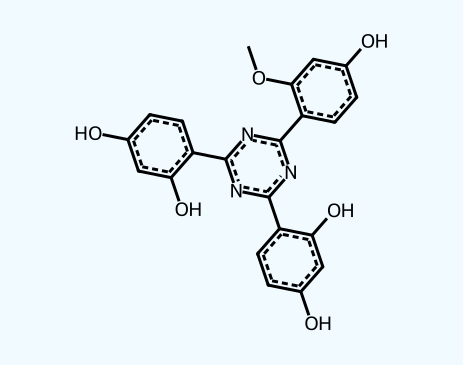 COc1cc(O)ccc1-c1nc(-c2ccc(O)cc2O)nc(-c2ccc(O)cc2O)n1